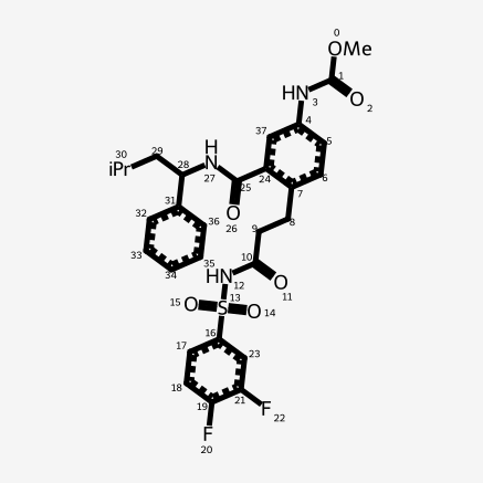 COC(=O)Nc1ccc(CCC(=O)NS(=O)(=O)c2ccc(F)c(F)c2)c(C(=O)NC(CC(C)C)c2ccccc2)c1